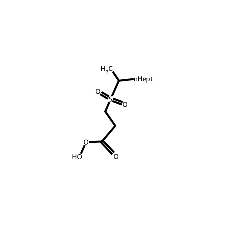 CCCCCCCC(C)S(=O)(=O)CCC(=O)OO